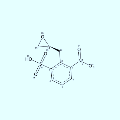 O=[N+]([O-])c1cccc(S(=O)(=O)O)c1C[C@H]1CO1